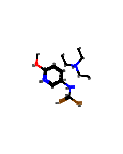 CCN(CC)CC.COc1ccc(NC(=S)S)cn1